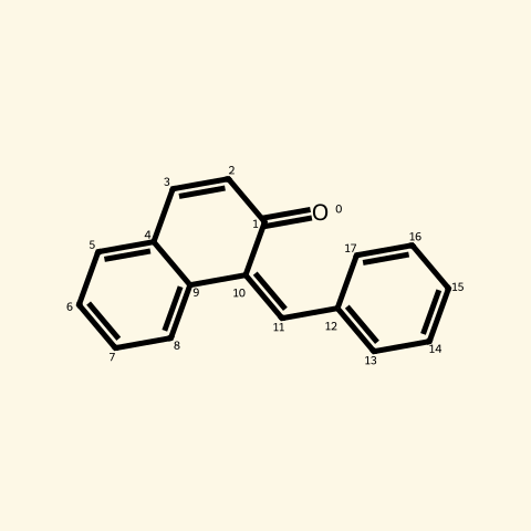 O=C1C=Cc2ccccc2C1=Cc1ccccc1